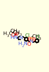 CCS(=O)(=O)N(Cc1cccc(Cl)c1)C(=O)c1cc(Cl)c(CN2CCC(NC(=O)OC(C)(C)C)C2)cc1N